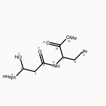 CCCCCCCC(O)CC(=O)NC(CC(C)C)C(=O)OC